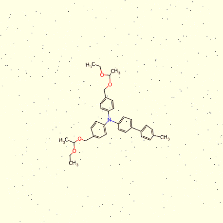 CCOC(C)OCc1ccc(N(c2ccc(COC(C)OCC)cc2)c2ccc(-c3ccc(C)cc3)cc2)cc1